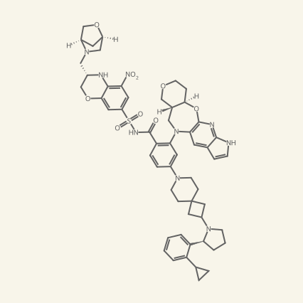 O=C(NS(=O)(=O)c1cc2c(c([N+](=O)[O-])c1)N[C@@H](CN1C[C@H]3C[C@@H]1CO3)CO2)c1ccc(N2CCC3(CC2)CC(N2CCC[C@H]2c2ccccc2C2CC2)C3)cc1N1C[C@@H]2COCC[C@H]2Oc2nc3[nH]ccc3cc21